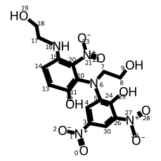 O=[N+]([O-])c1cc(N(CCO)c2c(O)ccc(NCCO)c2[N+](=O)[O-])c(O)c([N+](=O)[O-])c1